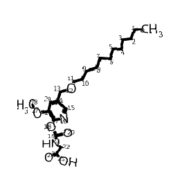 CCCCCCCCCCCCOCc1cnc(OC(=O)NCC(=O)O)c(OC)c1